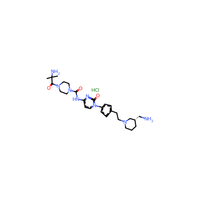 CC(C)(N)C(=O)N1CCN(C(=O)Nc2ccn(-c3ccc(CCN4CCC[C@@H](CN)C4)cc3)c(=O)n2)CC1.Cl